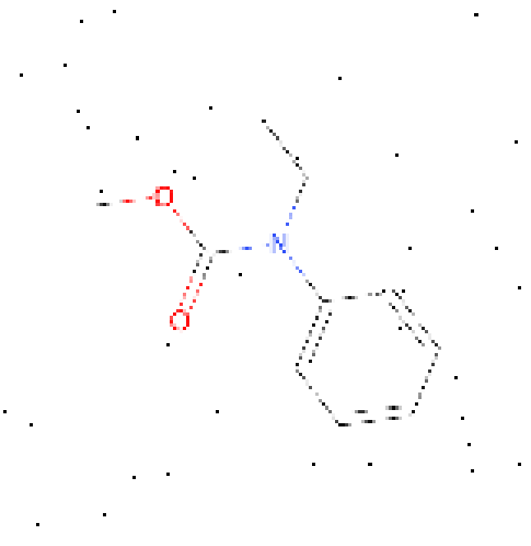 CCN(C(=O)OC)c1[c]cccc1